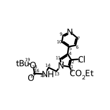 CCOC(=O)c1c(Cl)c(-c2ccncc2)cn1CCNC(=O)OC(C)(C)C